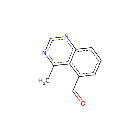 Cc1ncnc2cccc(C=O)c12